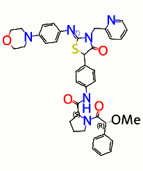 CO[C@@H](C(=O)N1CCC[C@H]1C(=O)Nc1ccc(C2S/C(=N\c3ccc(N4CCOCC4)cc3)N(Cc3ccccn3)C2=O)cc1)c1ccccc1